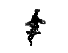 CCc1ccc(NC(=O)CNC(=O)c2ccc3c(c2)C2(OC3=O)c3ccc(O)cc3Oc3cc(O)ccc32)c(OCC(C)C)c1